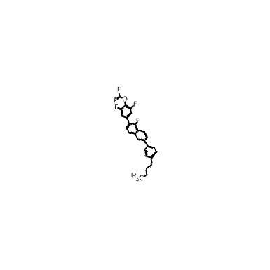 CCCCc1ccc(-c2ccc3c(F)c(-c4cc(F)c(OC(F)F)c(F)c4)ccc3c2)cc1